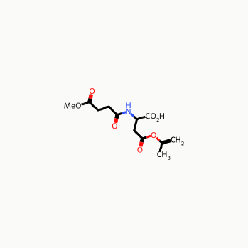 C=C(C)OC(=O)CC(NC(=O)CCC(=O)OC)C(=O)O